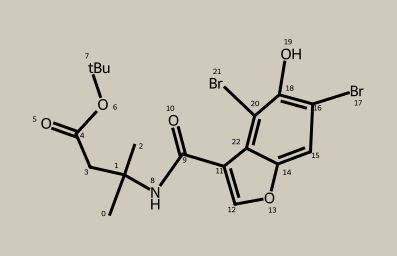 CC(C)(CC(=O)OC(C)(C)C)NC(=O)c1coc2cc(Br)c(O)c(Br)c12